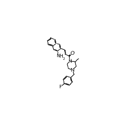 CC1CN(Cc2ccc(F)cc2)CCN1C(=O)C=Cc1cc2ccccc2cc1N